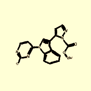 CC(C)(C)OC(=O)n1nccc1-c1cn(-c2ccnc(Cl)n2)c2ccccc12